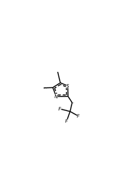 Cc1nc([CH]C(F)(F)F)sc1C